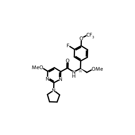 COC[C@@H](NC(=O)c1cc(OC)nc(N2CCCC2)n1)c1ccc(OC(F)(F)F)c(F)c1